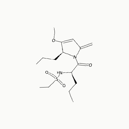 C=C1C=C(OC)[C@H](CCC)N1C(=O)[C@@H](CCC)NS(=O)(=O)CC